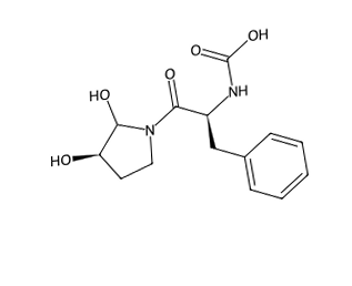 O=C(O)N[C@@H](Cc1ccccc1)C(=O)N1CC[C@@H](O)C1O